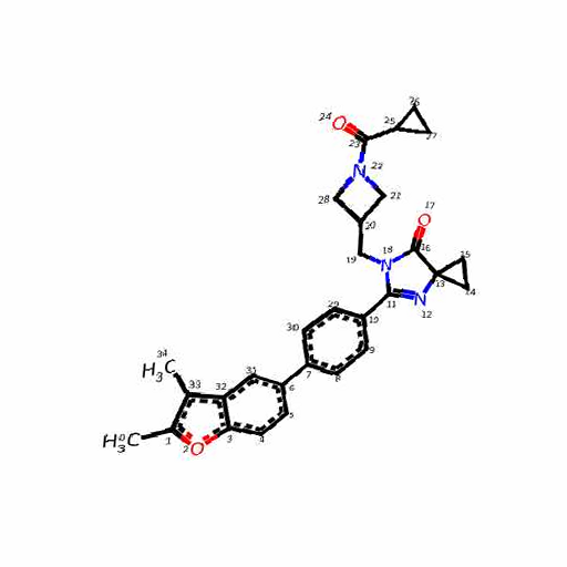 Cc1oc2ccc(-c3ccc(C4=NC5(CC5)C(=O)N4CC4CN(C(=O)C5CC5)C4)cc3)cc2c1C